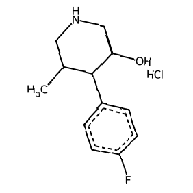 CC1CNCC(O)C1c1ccc(F)cc1.Cl